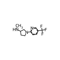 CNC1CCN(c2ccc(C(F)(F)F)cn2)C1